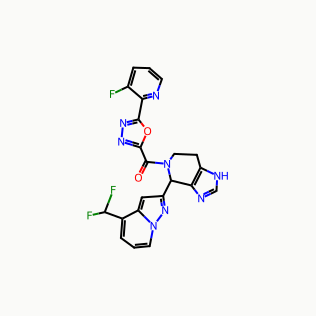 O=C(c1nnc(-c2ncccc2F)o1)N1CCc2[nH]cnc2C1c1cc2c(C(F)F)cccn2n1